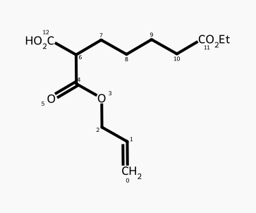 C=CCOC(=O)C(CCCCC(=O)OCC)C(=O)O